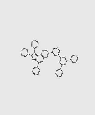 c1ccc(-c2cc(-c3ccccc3)nc(-c3cccc(-c4ccc5c(c4)cc(-c4ccccc4)n4nc(-c6ccccc6)c(-c6ccccc6)c54)c3)n2)cc1